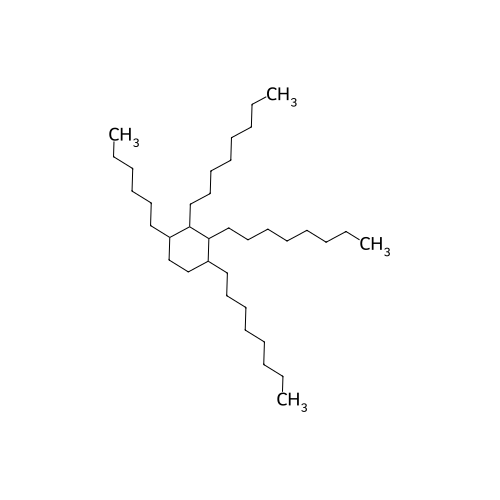 CCCCCCCCC1CCC(CCCCCC)C(CCCCCCCC)C1CCCCCCCC